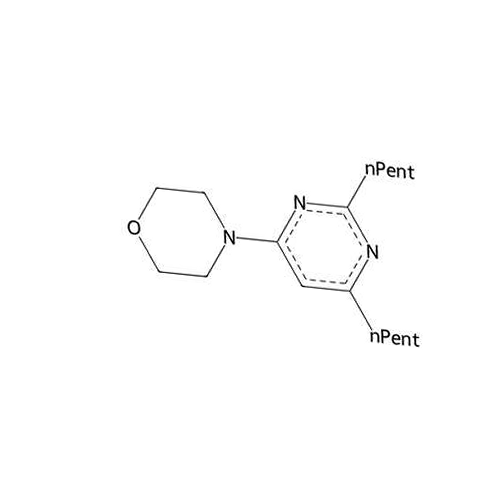 CCCCCc1cc(N2CCOCC2)nc(CCCCC)n1